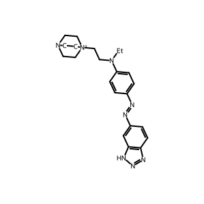 CCN(CC[N+]12CCN(CC1)CC2)c1ccc(N=Nc2ccc3nn[nH]c3c2)cc1